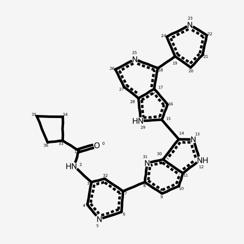 O=C(Nc1cncc(-c2ccc3[nH]nc(-c4cc5c(-c6cccnc6)nccc5[nH]4)c3n2)c1)C1CCC1